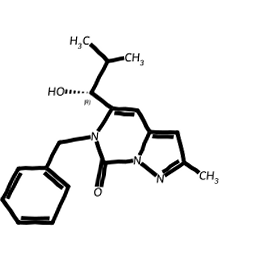 Cc1cc2cc([C@H](O)C(C)C)n(Cc3ccccc3)c(=O)n2n1